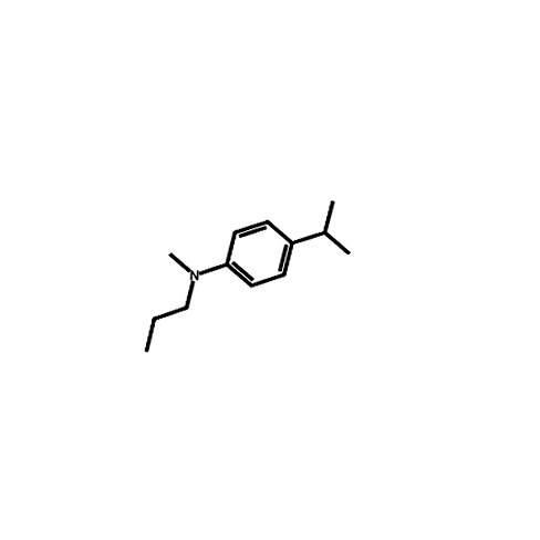 CCCN(C)c1ccc(C(C)C)cc1